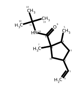 C=CC1CC(C)C(C)(C(=O)NC(C)(C)C)C1